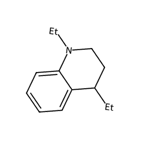 CCC1CCN(CC)c2ccccc21